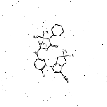 CC1(C)Cc2c(-c3cc(NC(=O)OC(=O)N(C4CCCCC4)C(C)(C)C)ncc3Cl)cc(C#N)n2C1